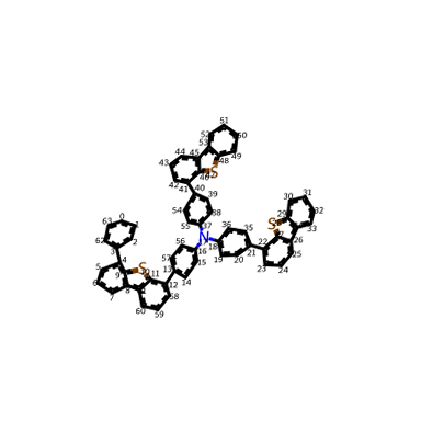 c1ccc(-c2cccc3c2sc2c(-c4ccc(N(c5ccc(-c6cccc7c6sc6ccccc67)cc5)c5ccc(-c6cccc7c6sc6ccccc67)cc5)cc4)cccc23)cc1